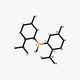 CC1CCC(C(C)C)C(P(C)C2CC(C)CCC2C(C)C)C1